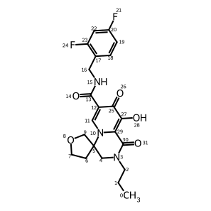 CCCN1CC2(CCOC2)n2cc(C(=O)NCc3ccc(F)cc3F)c(=O)c(O)c2C1=O